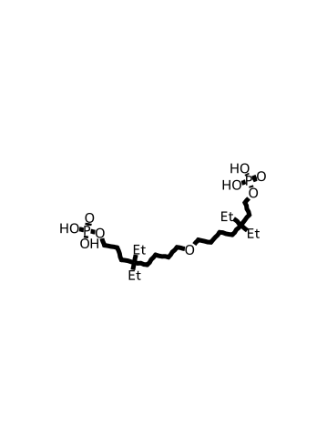 CCC(CC)(CCCCOCCCCC(CC)(CC)CCOP(=O)(O)O)CCCOP(=O)(O)O